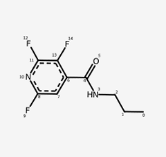 CCCNC(=O)c1cc(F)nc(F)c1F